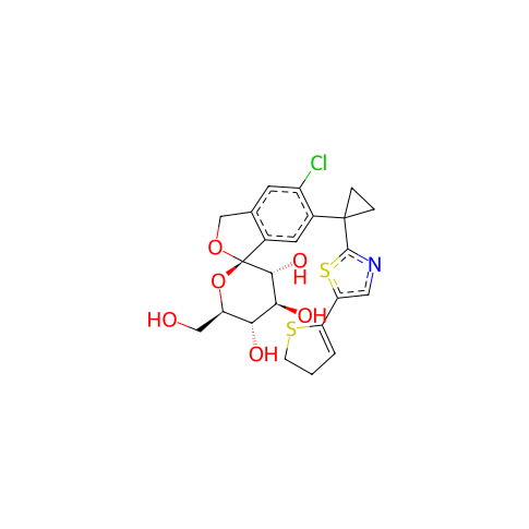 OC[C@H]1O[C@]2(OCc3cc(Cl)c(C4(c5ncc(C6=CCCS6)s5)CC4)cc32)[C@H](O)[C@@H](O)[C@@H]1O